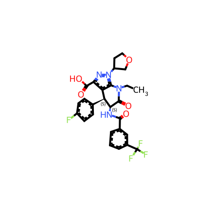 CCN1C(=O)[C@@H](NC(=O)c2cccc(C(F)(F)F)c2)[C@@H](c2ccc(F)cc2)c2c(C(=O)O)nn(C3CCOC3)c21